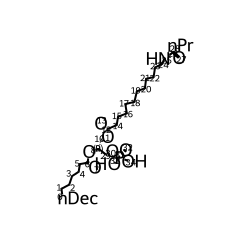 CCCCCCCCCCCCCCCC(=O)O[C@H](COC(=O)CCCCCCCCCCCNC(=O)CCC)COP(=O)(O)O